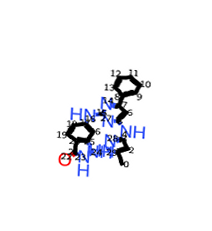 Cc1cc(Nc2cc(-c3ccccc3)nc(Nc3ccc4c(=O)[nH][nH]c4c3)n2)n[nH]1